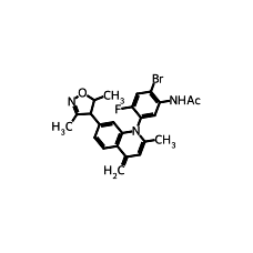 C=C1C=C(C)N(c2cc(NC(C)=O)c(Br)cc2F)c2cc(C3C(C)=NOC3C)ccc21